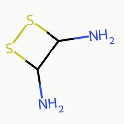 NC1SSC1N